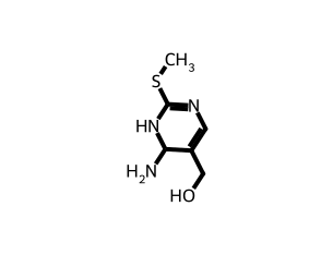 CSC1=NC=C(CO)C(N)N1